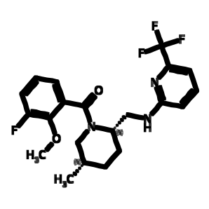 COc1c(F)cccc1C(=O)N1C[C@@H](C)CC[C@H]1CNc1cccc(C(F)(F)F)n1